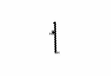 CC(C)CCCCCCCC(CCCCCCCCCCCCCCCCO)C(=O)O